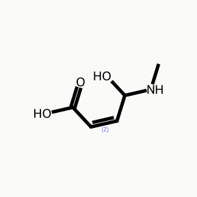 CNC(O)/C=C\C(=O)O